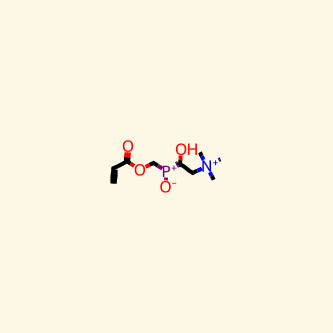 C=CC(=O)OC[P+]([O-])=C(O)C[N+](C)(C)C